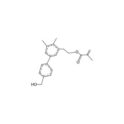 C=C(C)C(=O)OCCc1cc(-c2ccc(CO)cc2)cc(C)c1C